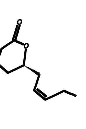 CC/C=C\C[C@@H]1CCCC(=O)O1